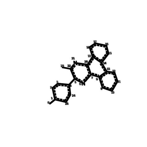 Cc1ccc(-c2nc3c4ccccc4c4ccccc4c3nc2C)cc1